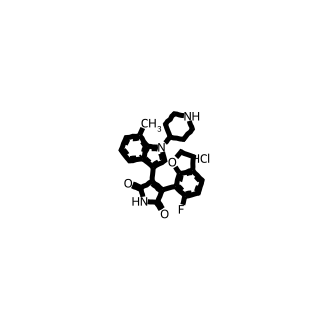 Cc1cccc2c(C3=C(c4c(F)ccc5c4OCC5)C(=O)NC3=O)cn(C3CCNCC3)c12.Cl